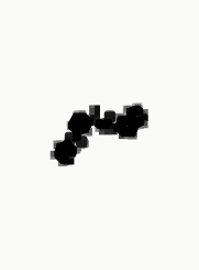 O=C(CNc1cccc(C(=O)Oc2cccnc2)c1)Nc1ccc2cnccc2c1